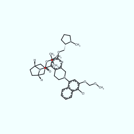 COCOc1cc(N2CCc3c(nc(OC[C@@H]4CCCN4C)nc3N3C[C@H]4CC[C@@H](C3)N4C(=O)OC(C)(C)C)C2)c2ccccc2c1Cl